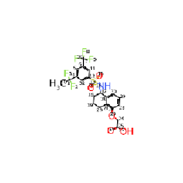 CC(F)(F)c1cc(C(F)(F)F)cc(S(=O)(=O)NC2CCCc3c(OCC(=O)O)cccc32)c1